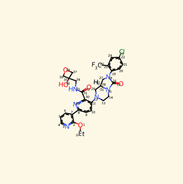 CCOc1ncccc1-c1ccc(N2CCN3C(=O)N(c4ccc(Cl)cc4C(F)(F)F)C[C@@H]3C2)c(C(=O)NCC2(O)COC2)n1